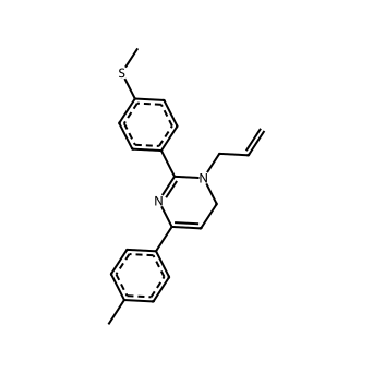 C=CCN1CC=C(c2ccc(C)cc2)N=C1c1ccc(SC)cc1